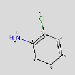 NC1=C(Cl)C=CCC1